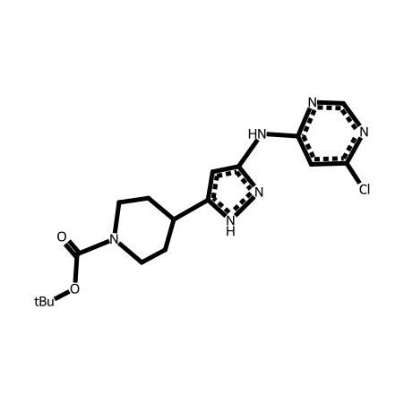 CC(C)(C)OC(=O)N1CCC(c2cc(Nc3cc(Cl)ncn3)n[nH]2)CC1